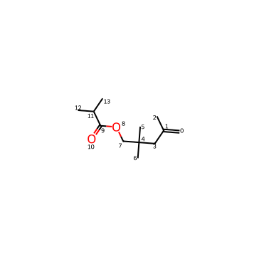 C=C(C)CC(C)(C)COC(=O)C(C)C